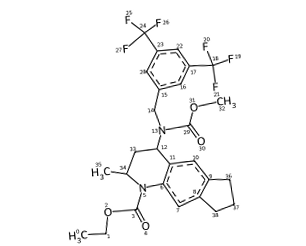 CCOC(=O)N1c2cc3c(cc2C(N(Cc2cc(C(F)(F)F)cc(C(F)(F)F)c2)C(=O)OC)CC1C)CCC3